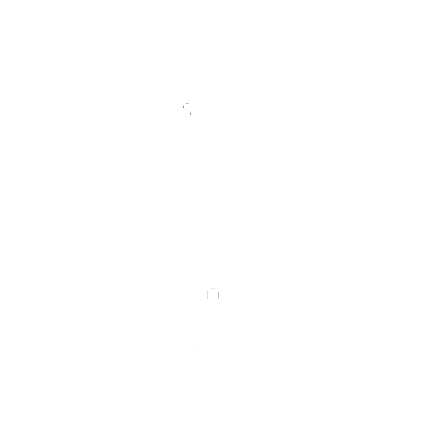 CC(C)(C)Oc1cccc(Sc2ccccc2)c1